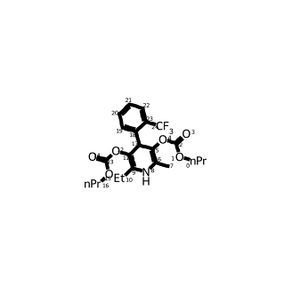 CCCOC(=O)OC1=C(C)NC(CC)=C(OC(=O)OCCC)C1c1ccccc1C(F)(F)F